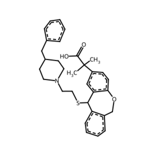 CC(C)(C(=O)O)c1ccc2c(c1)C(SCCN1CCC(Cc3ccccc3)CC1)c1ccccc1CO2